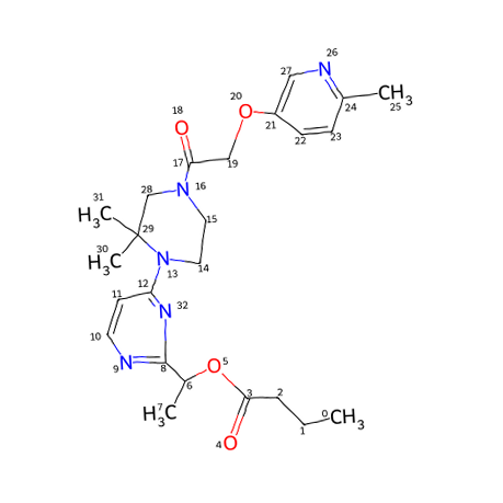 CCCC(=O)OC(C)c1nccc(N2CCN(C(=O)COc3ccc(C)nc3)CC2(C)C)n1